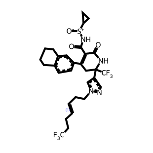 O=C(N[S+]([O-])C1CC1)C1=C(c2ccc3c(c2)CCCC3)CC(c2cnn(CC/C=C/CCC(F)(F)F)c2)(C(F)(F)F)NC1=O